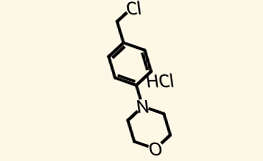 Cl.ClCc1ccc(N2CCOCC2)cc1